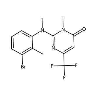 Cc1c(Br)cccc1N(C)c1nc(C(F)(F)F)cc(=O)n1C